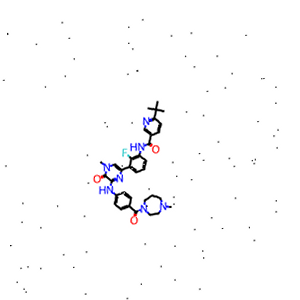 CN1CCCN(C(=O)c2ccc(Nc3nc(-c4cccc(NC(=O)c5ccc(C(C)(C)C)nc5)c4F)cn(C)c3=O)cc2)CC1